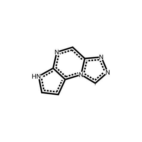 [c]1nnc2cnc3[nH]ccc3n12